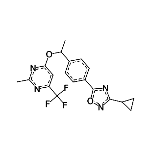 Cc1nc(OC(C)c2ccc(-c3nc(C4CC4)no3)cc2)cc(C(F)(F)F)n1